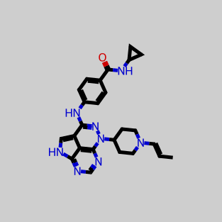 CC=CN1CCC(N2N=C(Nc3ccc(C(=O)NC4CC4)cc3)c3c[nH]c4ncnc2c34)CC1